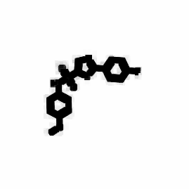 COc1ccc(NS(=O)(=O)c2cnc(-c3ccc(F)cc3)s2)cc1